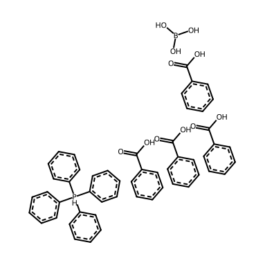 O=C(O)c1ccccc1.O=C(O)c1ccccc1.O=C(O)c1ccccc1.O=C(O)c1ccccc1.OB(O)O.c1ccc([PH](c2ccccc2)(c2ccccc2)c2ccccc2)cc1